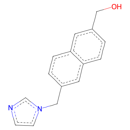 OCc1ccc2cc(Cn3ccnc3)ccc2c1